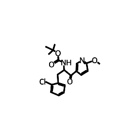 COc1ccc(C(=O)C(Cc2ccccc2Cl)NC(=O)OC(C)(C)C)cn1